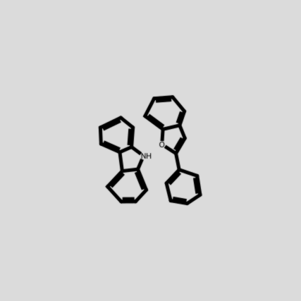 c1ccc(-c2cc3ccccc3o2)cc1.c1ccc2c(c1)[nH]c1ccccc12